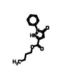 CCCCOC(=O)c1cc(=O)n(-c2ccccc2)[nH]1